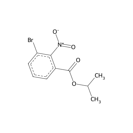 CC(C)OC(=O)c1cccc(Br)c1[N+](=O)[O-]